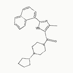 Cc1nc(-c2cccc3ccccc23)[nH]c1C(=O)N1CCN(C2CCCC2)CC1